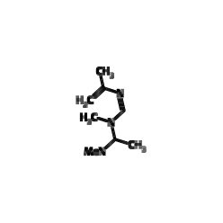 C=C(C)/N=C\N(C)C(C)NC